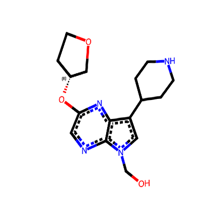 OCn1cc(C2CCNCC2)c2nc(O[C@@H]3CCOC3)cnc21